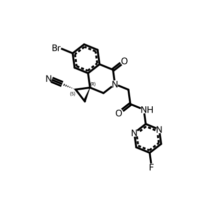 N#C[C@H]1C[C@@]12CN(CC(=O)Nc1ncc(F)cn1)C(=O)c1ccc(Br)cc12